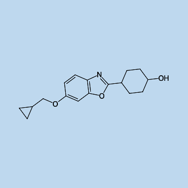 OC1CCC(c2nc3ccc(OCC4CC4)cc3o2)CC1